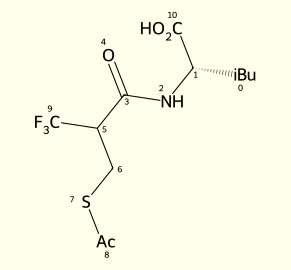 CCC(C)[C@H](NC(=O)C(CSC(C)=O)C(F)(F)F)C(=O)O